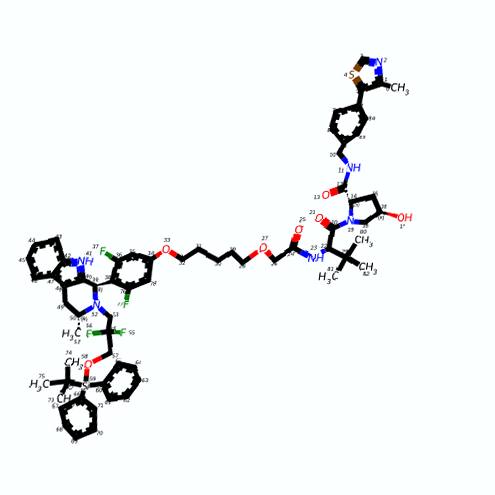 Cc1ncsc1-c1ccc(CNC(=O)[C@@H]2C[C@@H](O)CN2C(=O)C(NC(=O)COCCCCCOc2cc(F)c([C@@H]3c4[nH]c5ccccc5c4C[C@@H](C)N3CC(F)(F)CO[Si](c3ccccc3)(c3ccccc3)C(C)(C)C)c(F)c2)C(C)(C)C)cc1